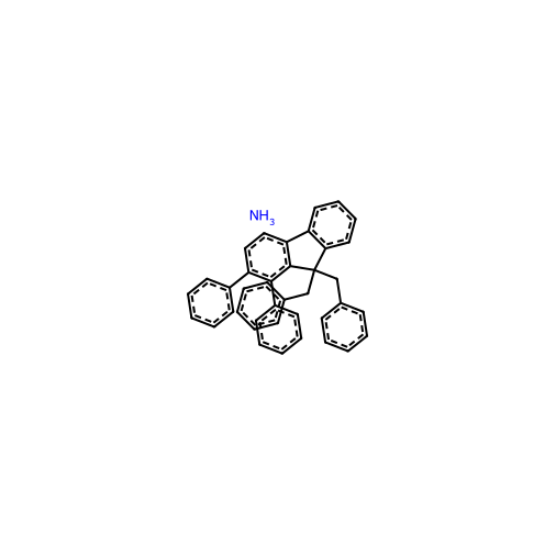 N.c1ccc(CC2(Cc3ccccc3)c3ccccc3-c3ccc(-c4ccccc4)c(-c4ccccc4)c32)cc1